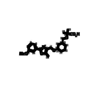 COc1cccc(-c2nc(CO[C@@H]3CCC[C@H](COC(C)(C)C(=O)O)C3)c(C)o2)c1